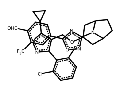 O=Cc1ccc(-c2nc(N3C4CCC3CC(OCc3c(-c5c(Cl)cccc5Cl)noc3C3CC3)C4)no2)cc1C(F)(F)F